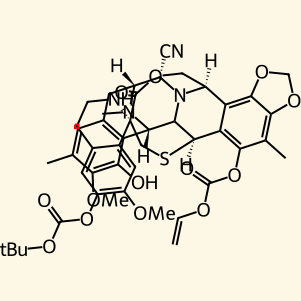 C=COC(=O)Oc1c(C)c2c(c3c1[C@H]1SC[C@]4(NCCc5cc(OC(=O)OC(C)(C)C)c(OC)cc54)C(=O)OC[C@@H]3N3C1[C@@H]1c4c(cc(C)c(OC)c4O)C[C@H]([C@@H]3C#N)N1C)OCO2